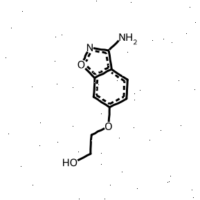 Nc1noc2cc(OCCO)ccc12